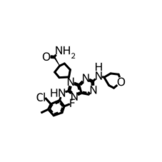 Cc1ccc(F)c(Nc2nc3cnc(NC4CCOCC4)nc3n2[C@H]2CC[C@H](C(N)=O)CC2)c1Cl